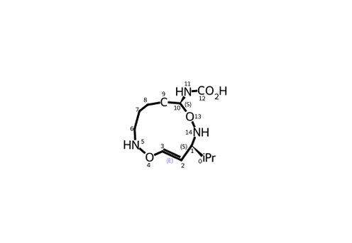 CC(C)[C@H]1/C=C/ONCCCC[C@@H](NC(=O)O)ON1